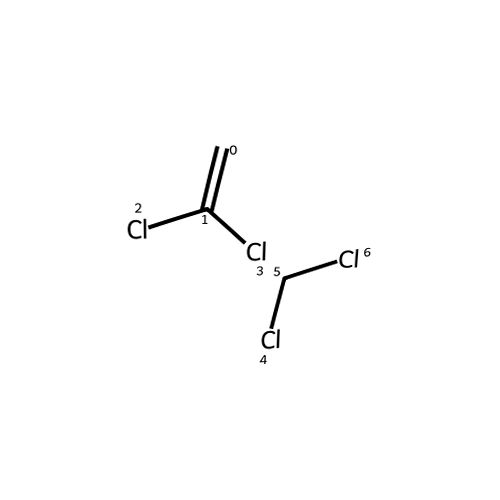 C=C(Cl)Cl.ClCCl